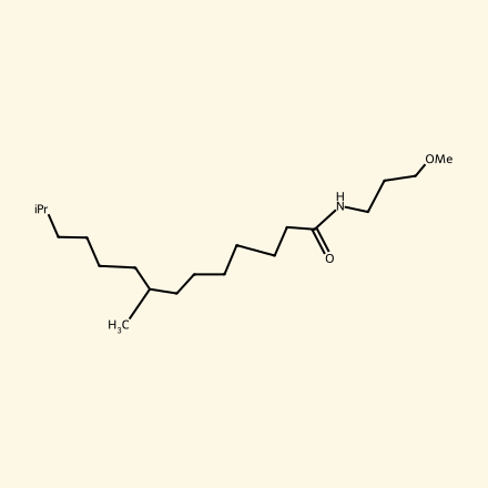 COCCCNC(=O)CCCCCCC(C)CCCCC(C)C